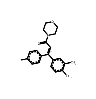 Cc1ccc(/C(=C/C(=O)N2CCOCC2)c2ccc(F)cc2)cc1C